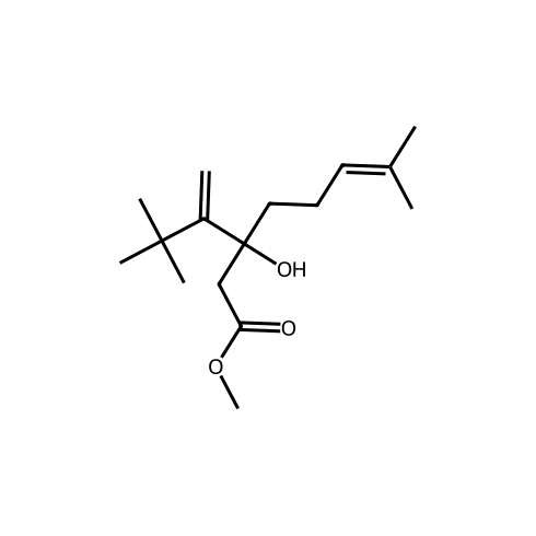 C=C(C(C)(C)C)C(O)(CCC=C(C)C)CC(=O)OC